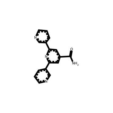 NC(=O)c1cc(-c2cccnc2)nc(-c2cccnc2)c1